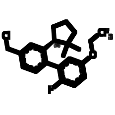 CC1(C)CCC[C@@H]1c1cc(CCl)ccc1-c1cc(OCC(F)(F)F)ccc1F